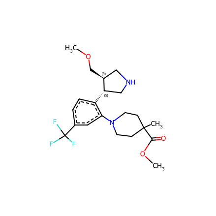 COC[C@H]1CNC[C@@H]1c1ccc(C(F)(F)F)cc1N1CCC(C)(C(=O)OC)CC1